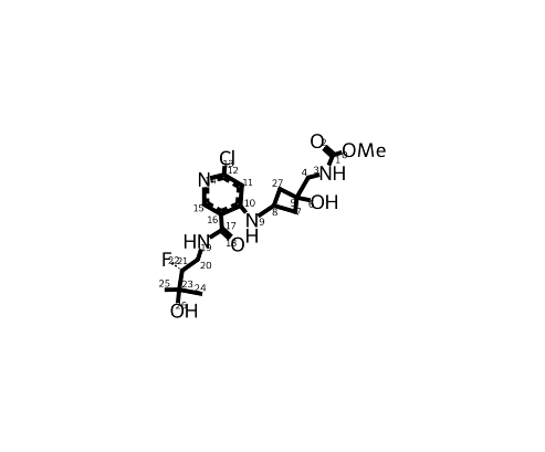 COC(=O)NCC1(O)CC(Nc2cc(Cl)ncc2C(=O)NC[C@@H](F)C(C)(C)O)C1